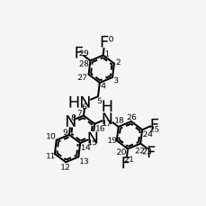 Fc1ccc(CNc2nc3ccccc3nc2Nc2cc(F)c(F)c(F)c2)cc1F